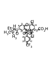 CCC(C)(C)NC(=O)c1ccc(Oc2cc(F)c(CC(=O)O)cc2Cl)c(NS(=O)(=O)c2ccc(C(F)(F)F)cc2Cl)c1